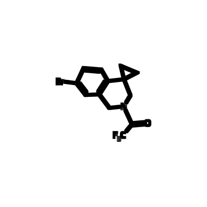 O=C(N1Cc2cc(Br)ccc2C2(CC2)C1)C(F)(F)F